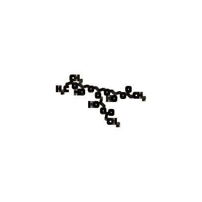 C=CC(=C)OCC(O)COCC(COCC(O)COC(=O)C=C)OCC(O)COC(=O)C=C